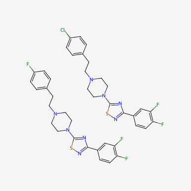 Fc1ccc(-c2nsc(N3CCN(CCc4ccc(Cl)cc4)CC3)n2)cc1F.Fc1ccc(CCN2CCN(c3nc(-c4ccc(F)c(F)c4)ns3)CC2)cc1